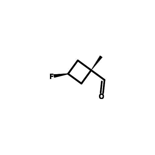 C[C@]1(C=O)C[C@@H](F)C1